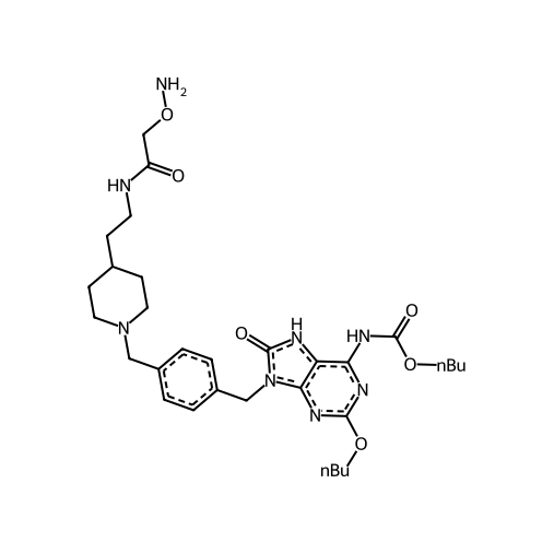 CCCCOC(=O)Nc1nc(OCCCC)nc2c1[nH]c(=O)n2Cc1ccc(CN2CCC(CCNC(=O)CON)CC2)cc1